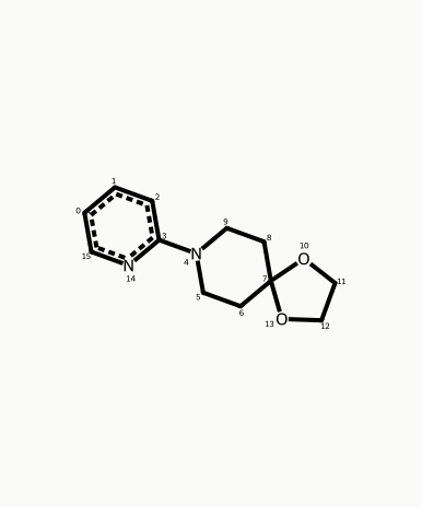 [c]1ccc(N2CCC3(CC2)OCCO3)nc1